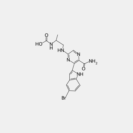 CC(CNc1cnc(C(N)=O)c(-c2cc3cc(Br)ccc3[nH]2)n1)NC(=O)O